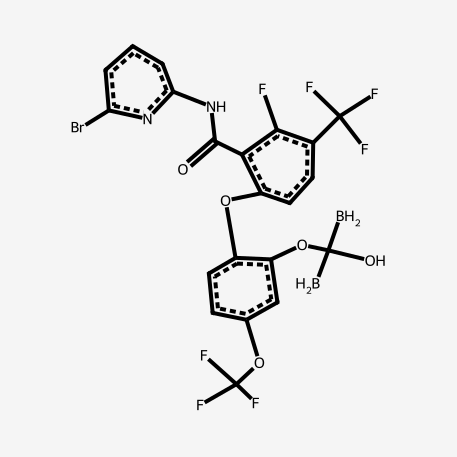 BC(B)(O)Oc1cc(OC(F)(F)F)ccc1Oc1ccc(C(F)(F)F)c(F)c1C(=O)Nc1cccc(Br)n1